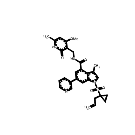 C=CCC1(S(=O)(=O)n2cc(C)c3c(C(=O)NCc4c(OC)cc(C)[nH]c4=O)cc(-c4cccnc4)cc32)CC1